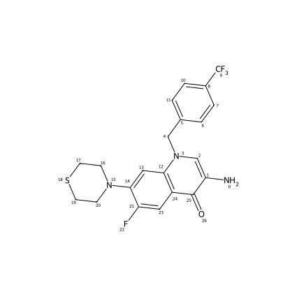 Nc1cn(Cc2ccc(C(F)(F)F)cc2)c2cc(N3CCSCC3)c(F)cc2c1=O